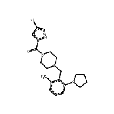 O=C(N1CCN(Cc2c(N3CCCC3)cccc2C(F)(F)F)CC1)n1cc(Cl)cn1